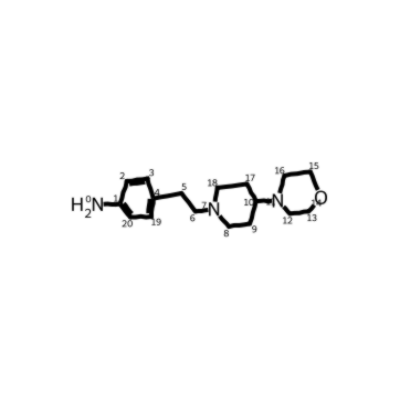 Nc1ccc(CCN2CCC(N3CCOCC3)CC2)cc1